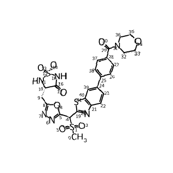 CS(=O)(=O)C(c1nnc(C[C@@H]2NS(=O)(=O)NC2=O)o1)c1nc2ccc(-c3ccc(C(=O)N4CCOCC4)cc3)cc2s1